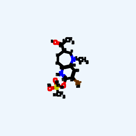 CN1CC(C(=O)C(F)(F)F)CCc2nc(OS(=O)(=O)C(F)(F)F)c(Br)cc21